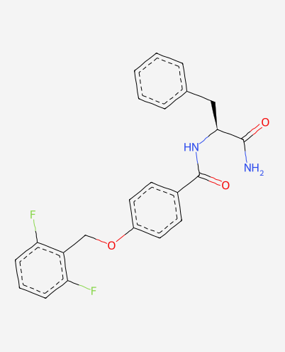 NC(=O)[C@H](Cc1ccccc1)NC(=O)c1ccc(OCc2c(F)cccc2F)cc1